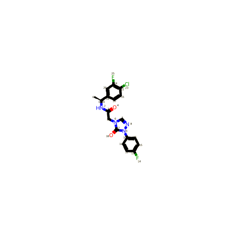 C[C@H](NC(=O)Cn1cnn(-c2ccc(F)cc2)c1=O)c1ccc(Cl)c(F)c1